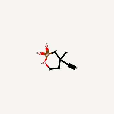 C#CC1(C)CCOS(=O)(=O)C1